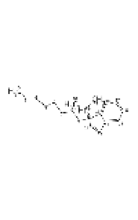 CCCCCCCC[C]1([Hf]([CH3])[CH3])C=Cc2ccccc21